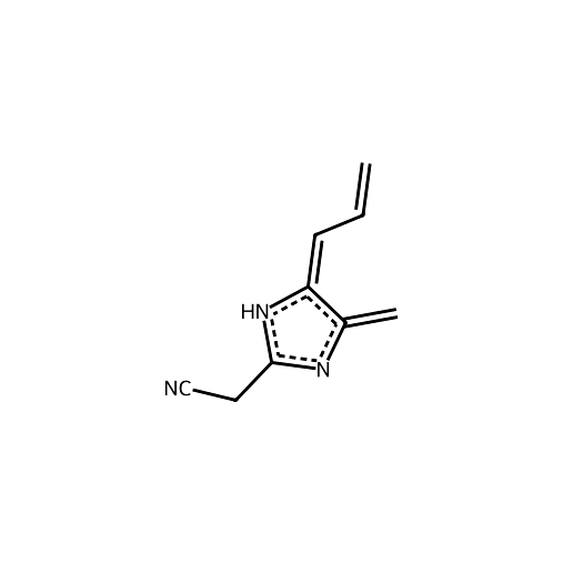 C=C/C=c1/[nH]c(CC#N)nc1=C